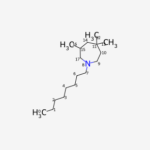 CCCCCCCCN1CCC(C)(C)CC(C)C1